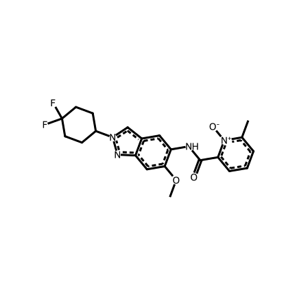 COc1cc2nn(C3CCC(F)(F)CC3)cc2cc1NC(=O)c1cccc(C)[n+]1[O-]